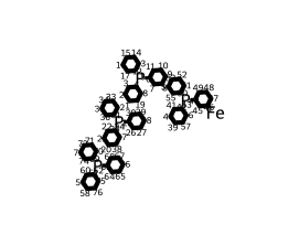 [Fe].c1ccc(P(c2ccccc2)c2ccccc2)cc1.c1ccc(P(c2ccccc2)c2ccccc2)cc1.c1ccc(P(c2ccccc2)c2ccccc2)cc1.c1ccc(P(c2ccccc2)c2ccccc2)cc1